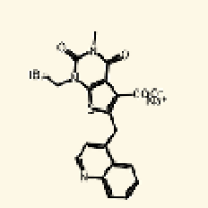 Cn1c(=O)c2c(C(=O)[O-])c(Cc3ccnc4ccccc34)sc2n(CC(C)(C)C)c1=O.[Na+]